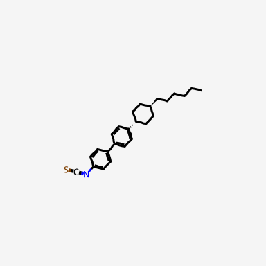 CCCCCC[C@H]1CC[C@H](c2ccc(-c3ccc(N=C=S)cc3)cc2)CC1